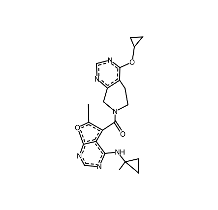 Cc1oc2ncnc(NC3(C)CC3)c2c1C(=O)N1CCc2c(ncnc2OC2CC2)C1